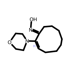 ON=C1CCCCCCC/C=C\1N1CCOCC1